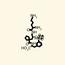 CS(=O)(=O)Nc1cccc(C[C@H](NC(=O)C2(C[C@@H](CNC(=O)C(N)CCCCN)C(=O)O)CCCC2)C(=O)O)c1